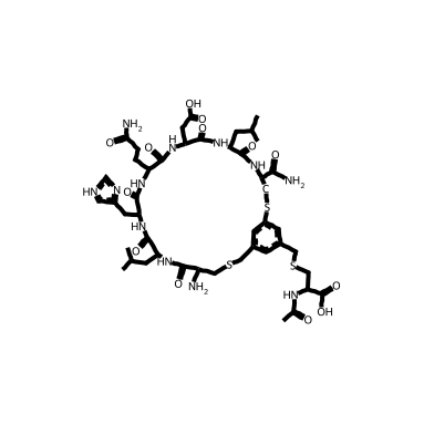 CC(=O)NC(CSCc1cc2cc(c1)SCC(C(N)=O)NC(=O)C(CC(C)C)NC(=O)C(CC(=O)O)NC(=O)C(CCC(N)=O)NC(=O)C(Cc1c[nH]cn1)NC(=O)C(CC(C)C)NC(=O)C(N)CSC2)C(=O)O